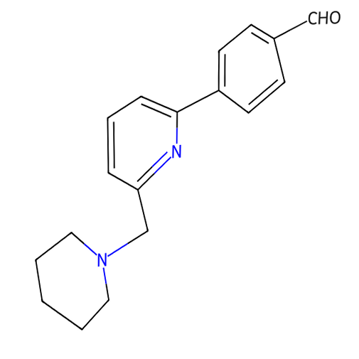 O=Cc1ccc(-c2cccc(CN3CCCCC3)n2)cc1